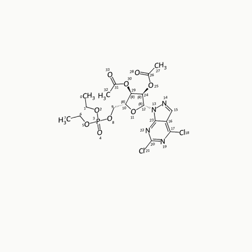 CCOP(=O)(OCC)OC[C@H]1O[C@@H](n2ncc3c(Cl)nc(Cl)nc32)[C@H](OC(C)=O)[C@@H]1OC(C)=O